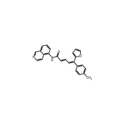 Cc1ccc(C(=CC=CC(=O)Nc2cccc3cnccc23)c2ccco2)cc1